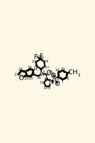 Cc1ccc(S(=O)(=O)N2CCC[C@H]2C(=O)N(Cc2ccc3ccoc3c2)C2CCC(F)(F)CC2)cc1